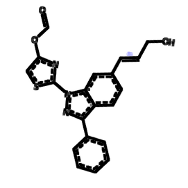 O=COc1csc(-n2nc(-c3ccccc3)c3ccc(/C=C/CO)cc32)n1